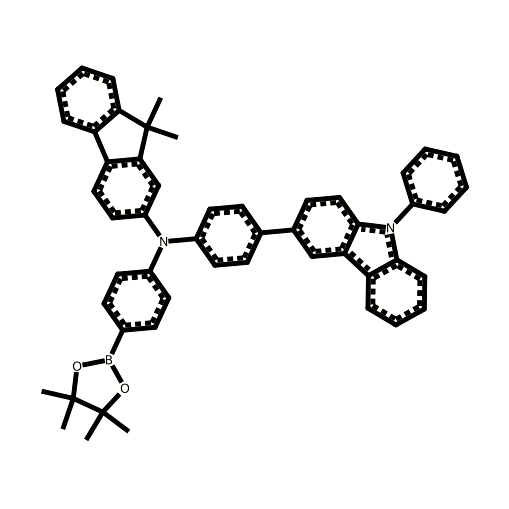 CC1(C)c2ccccc2-c2ccc(N(c3ccc(B4OC(C)(C)C(C)(C)O4)cc3)c3ccc(-c4ccc5c(c4)c4ccccc4n5-c4ccccc4)cc3)cc21